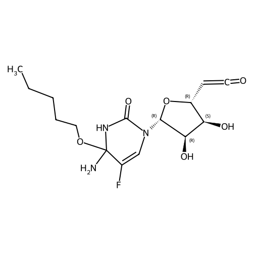 CCCCCOC1(N)NC(=O)N([C@@H]2O[C@H](C=C=O)[C@@H](O)[C@H]2O)C=C1F